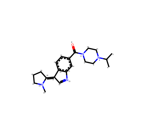 CC(C)N1CCN(C(=O)c2ccc3c(c2)N=C/C3=C2/CCCN2C)CC1